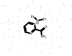 CCNCC.NC(=O)c1ncccn1